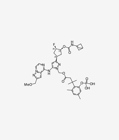 COCc1cc2c(Nc3cc([C@H]4C[C@@H](F)[C@@H](OC(=O)NC56CC(C5)C6)C4)nn3COC(=O)CC(C)(C)c3c(C)cc(C)cc3OP(=O)(O)O)nccn2n1